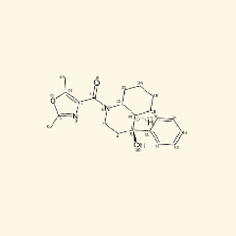 Cc1nc(C(=O)N2CC[C@@](O)(c3ccccc3)[C@@H]3CCCCC32)c(C)o1